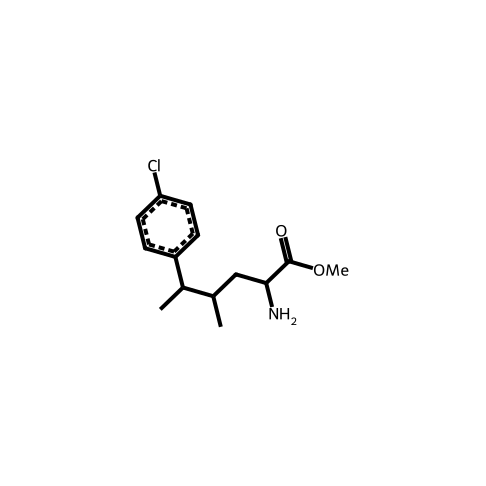 COC(=O)C(N)CC(C)C(C)c1ccc(Cl)cc1